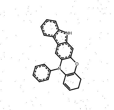 C1=CC2=C(CC1)Oc1cc3[nH]c4ccccc4c3cc1N2c1ccccc1